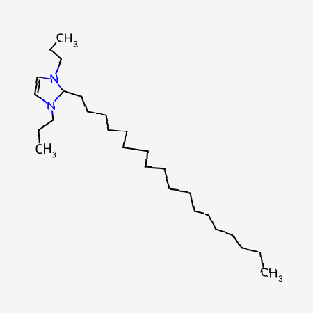 CCCCCCCCCCCCCCCCCCC1N(CCC)C=CN1CCC